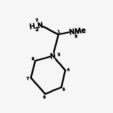 CNC(N)N1CCCCC1